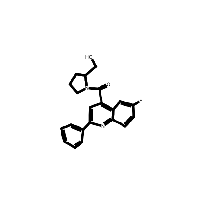 O=C(c1cc(-c2ccccc2)nc2ccc(F)cc12)N1CCCC1CO